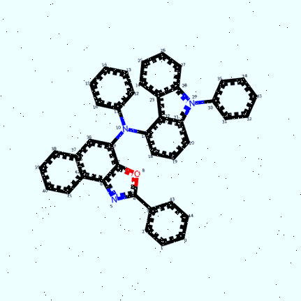 c1ccc(-c2nc3c(o2)c(N(c2ccccc2)c2cccc4c2c2ccccc2n4-c2ccccc2)cc2ccccc23)cc1